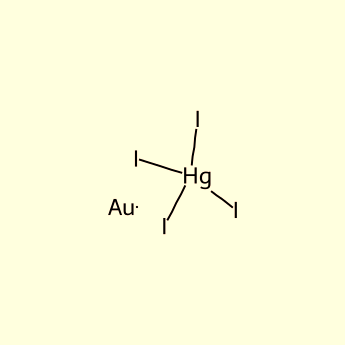 [Au].[I][Hg]([I])([I])[I]